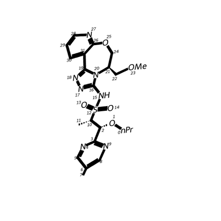 CCCO[C@H](c1ncc(C)cn1)[C@H](C)S(=O)(=O)Nc1nnc2n1[C@H](COC)COc1ncccc1-2